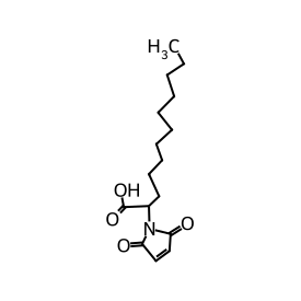 CCCCCCCCCCC(C(=O)O)N1C(=O)C=CC1=O